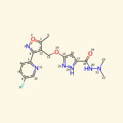 Cc1onc(-c2ccc(F)cn2)c1COc1cc(C(=O)NN(C)C)[nH]n1